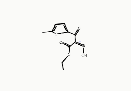 CCOC(=O)/C(=N\O)C(=O)c1ccc(C)s1